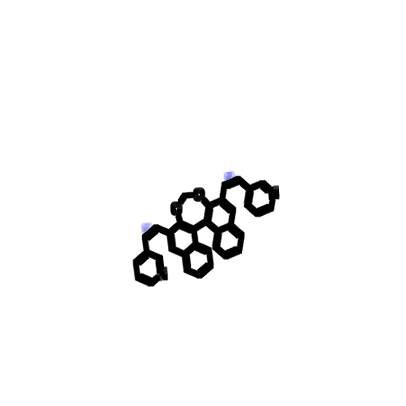 C(=C/c1cc2ccccc2c2c1OCOc1c(/C=C\c3cccnc3)cc3ccccc3c1-2)/c1cccnc1